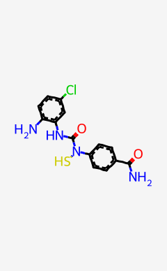 NC(=O)c1ccc(N(S)C(=O)Nc2cc(Cl)ccc2N)cc1